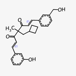 CC(CC1CCC1)(C(=O)/C=C/c1cccc(O)c1)C(=O)/C=C/c1cccc(CO)c1